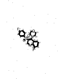 O=S(=O)(c1ccc(F)cc1)c1cnc2c(F)cccc2c1N1CCOCC1